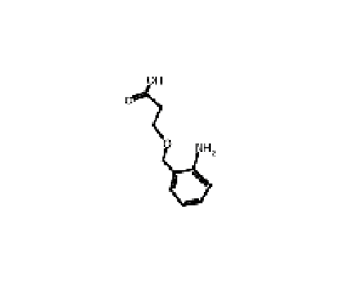 Nc1ccccc1COCCC(=O)O